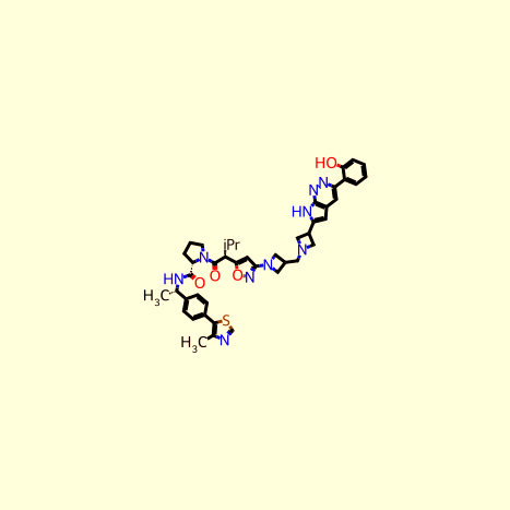 Cc1ncsc1-c1ccc([C@H](C)NC(=O)[C@@H]2CCCN2C(=O)[C@H](c2cc(N3CC(CN4CC(c5cc6cc(-c7ccccc7O)nnc6[nH]5)C4)C3)no2)C(C)C)cc1